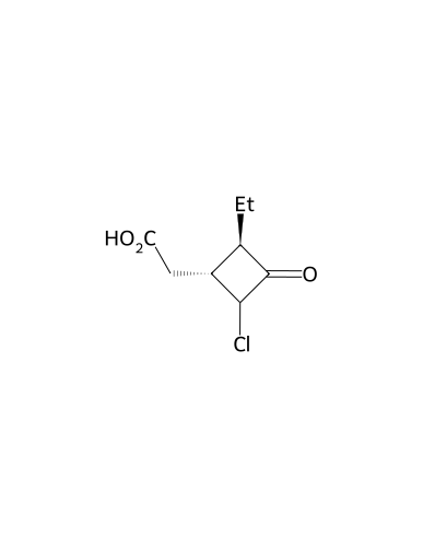 CC[C@H]1C(=O)C(Cl)[C@@H]1CC(=O)O